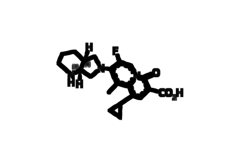 Cc1c(N2C[C@H]3CCCN[C@H]3C2)c(F)cn2c(=O)c(C(=O)O)cc(C3CC3)c12